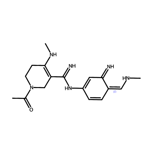 CN/C=C1/C=CC(NC(=N)C2=C(NC)CCN(C(C)=O)C2)=CC1=N